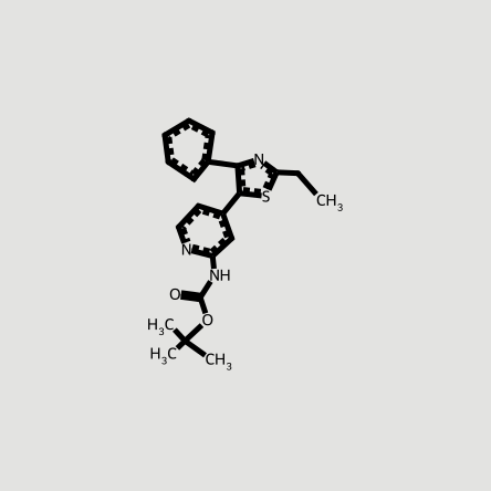 CCc1nc(-c2ccccc2)c(-c2ccnc(NC(=O)OC(C)(C)C)c2)s1